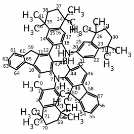 Cc1cc2c(cc1N1c3cc4c(c(-c5cc6c(cc5Nc5ccc7c(c5)C(C)(C)CCC7(C)C)C(C)(C)CCC6(C)C)c3Bc3ccc5c(c31)C(C)(C)c1ccccc1-5)Cc1ccccc1-4)C(C)(C)CCC2(C)C